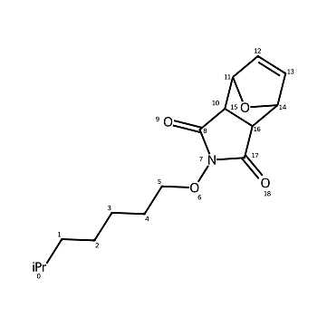 CC(C)CCCCCON1C(=O)C2C3C=CC(O3)C2C1=O